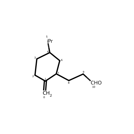 C=C1CCC(C(C)C)CC1CCC=O